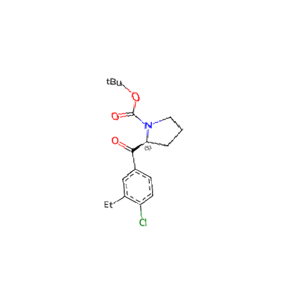 CCc1cc(C(=O)[C@@H]2CCCN2C(=O)OC(C)(C)C)ccc1Cl